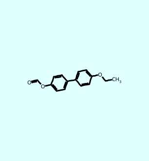 CCOc1ccc(-c2ccc(OC=O)cc2)cc1